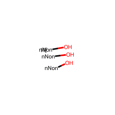 CCCCCCCCCO.CCCCCCCCCO.CCCCCCCCCO.[Hf]